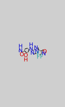 CNC(=O)c1ccc(Nc2nccn3c(-c4conc4C(F)(F)F)cnc23)cc1O